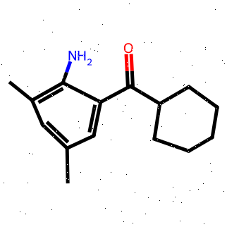 Cc1cc(C)c(N)c(C(=O)C2CCCCC2)c1